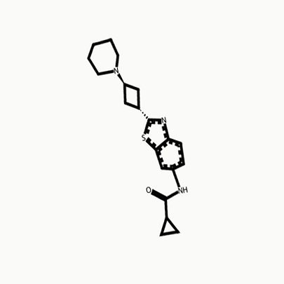 O=C(Nc1ccc2nc([C@H]3C[C@H](N4CCCCC4)C3)sc2c1)C1CC1